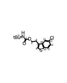 CC(C)(C)NC(=O)OCCc1csc2ccc(Cl)cc12